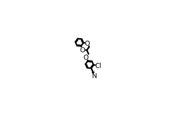 N#Cc1ccc(OCC2COc3ccccc3O2)cc1Cl